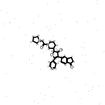 O=C1CCc2cc(C3=C(c4ccncc4)OC(C4CCCN(C(=O)CN5CCCC5)C4)C3=O)ccc21